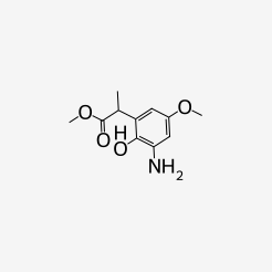 COC(=O)C(C)c1cc(OC)cc(N)c1O